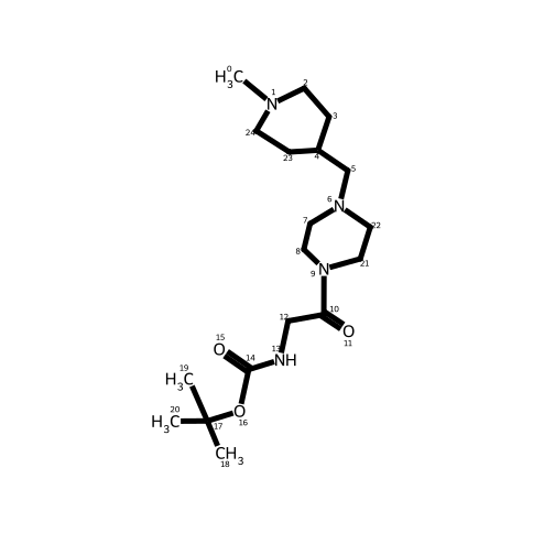 CN1CCC(CN2CCN(C(=O)CNC(=O)OC(C)(C)C)CC2)CC1